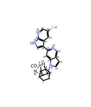 O=C(O)[C@@H]1C2CCC(CC2)[C@H]1n1ccc2cnc(-c3c[nH]c4ncc(F)cc34)cc21